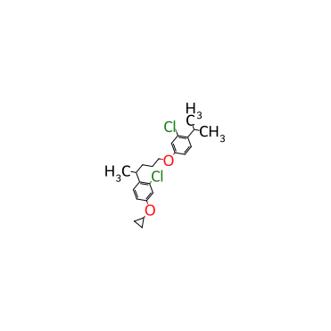 CC(C)c1ccc(OCCCC(C)c2ccc(OC3CC3)cc2Cl)cc1Cl